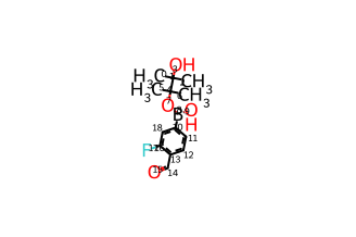 CC(C)(O)C(C)(C)OB(O)c1ccc(C=O)c(F)c1